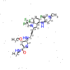 CNC(=O)c1cc(OC)c(NCC#Cc2cc3c(N[C@@H]4CCN(C)C[C@@H]4F)cccc3n2CC(F)(F)F)cn1